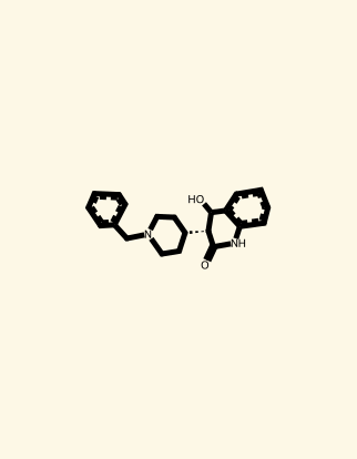 O=C1Nc2ccccc2C(O)[C@H]1C1CCN(Cc2ccccc2)CC1